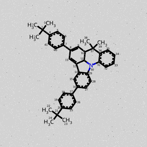 CC(C)(C)c1ccc(C2=CC3C4C(=C2)c2cc(-c5ccc(C(C)(C)C)cc5)ccc2N4c2ccccc2C3(C)C)cc1